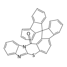 O=c1c2c3c(ccc2sc2nc4ccccc4n12)-c1ccccc1C31c2ccccc2-c2ccccc21